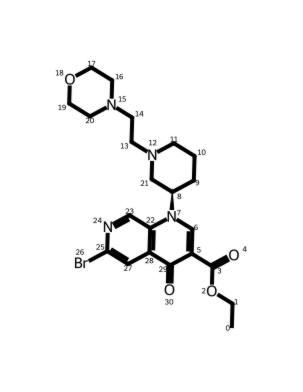 CCOC(=O)c1cn([C@@H]2CCCN(CCN3CCOCC3)C2)c2cnc(Br)cc2c1=O